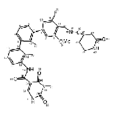 COc1cc(-c2cccc(-c3cccc(NC(=O)c4c[nH]c(=O)n(C)c4=O)c3C)c2C)cc(F)c1CNCC1CCNC(=O)C1